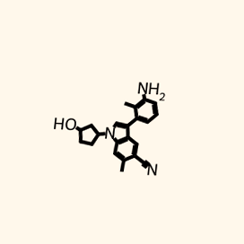 Cc1cc2c(cc1C#N)c(-c1cccc(N)c1C)cn2C1CCC(O)C1